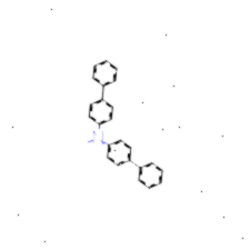 CN(c1ccc(-c2ccccc2)cc1)c1ccc(-c2ccccc2)cc1